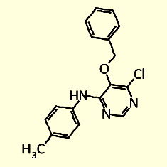 Cc1ccc(Nc2ncnc(Cl)c2OCc2ccccc2)cc1